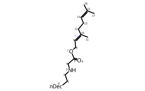 CCCCCCCCCCCCNCC(=O)OC/C=C(\C)CCC=C(C)C